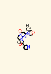 C[C@@H]1COCCN1c1cc(=O)n2c(n1)N(CC(=O)c1cccnc1)C(C(F)(F)F)CC2